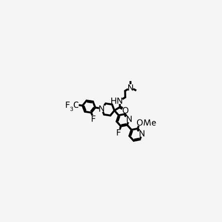 COc1ncccc1-c1ncc(C2(C(=O)NCCN(C)C)CCN(c3ccc(C(F)(F)F)cc3F)CC2)cc1F